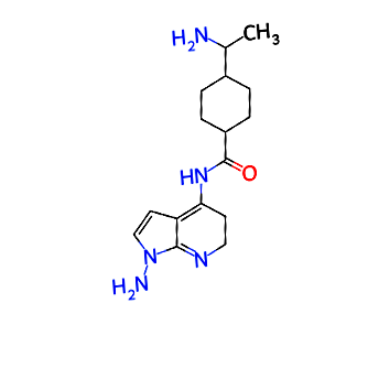 CC(N)C1CCC(C(=O)NC2=c3ccn(N)c3=NCC2)CC1